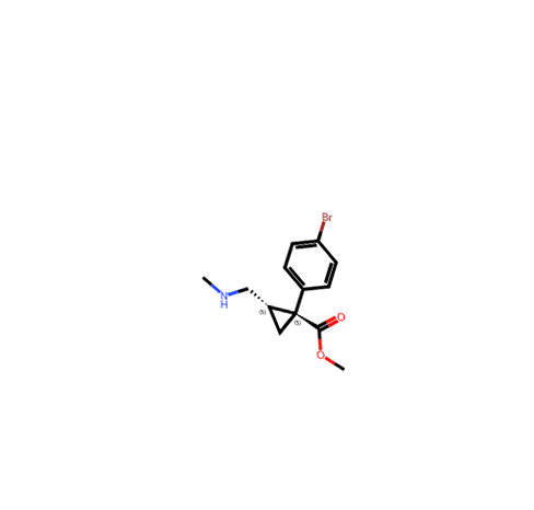 CNC[C@H]1C[C@@]1(C(=O)OC)c1ccc(Br)cc1